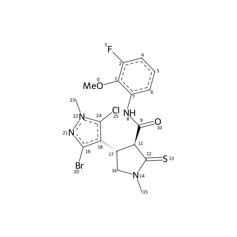 COc1c(F)cccc1NC(=O)[C@H]1C(=S)N(C)C[C@@H]1c1c(Br)nn(C)c1Cl